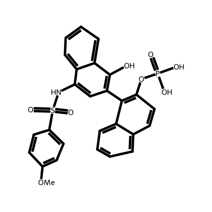 COc1ccc(S(=O)(=O)Nc2cc(-c3c(OP(=O)(O)O)ccc4ccccc34)c(O)c3ccccc23)cc1